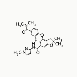 CN(C)C(=O)c1ccc(Oc2cc(C(=O)Nc3ccn(C)n3)cc3c2CC(C)(C)O3)c(F)c1